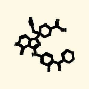 Cc1cc(Nc2nn(C3(CC#N)CCC(C(=O)O)OC3)c3cc[nH]c(=O)c23)ccc1C(=O)N1CCSCC1